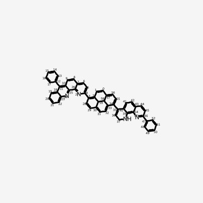 C1=CC2=C(c3ccc4ccc5c(-c6ccccc6)c6ccccc6nc5c4n3)C=CC3=CC=C4C(C5=CCNc6c5ccc5ccc(-c7ccccc7)nc65)=CC=C1C4C32